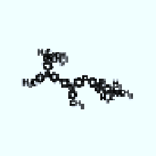 CCC(C)(C)Oc1ccc(N(c2ccc(C)cc2)c2ccc(-c3ccc(N(c4ccc(C)cc4)c4ccc(Oc5ccc(S(=O)(=O)c6ccc(C(C)(C)CC)cc6)cc5)cc4)cc3)cc2)cc1